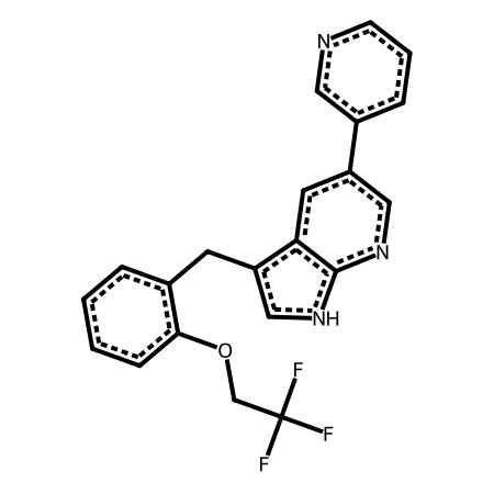 FC(F)(F)COc1ccccc1Cc1c[nH]c2ncc(-c3cccnc3)cc12